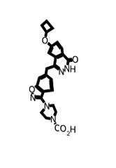 O=C(O)N1CCN(c2noc3cc(Cc4n[nH]c(=O)c5ccc(OC6CCC6)cc45)ccc23)CC1